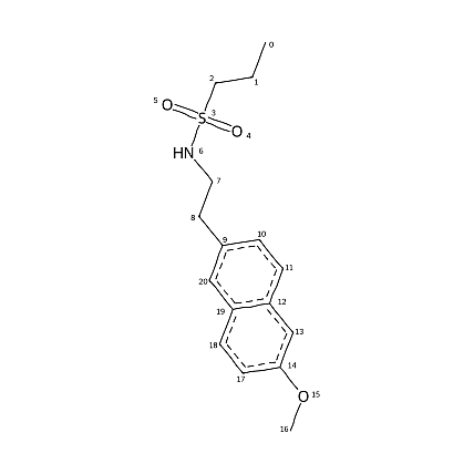 CCCS(=O)(=O)NCCc1ccc2cc(OC)ccc2c1